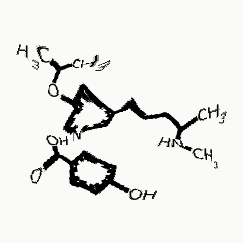 CNC(C)CC=Cc1cncc(OC(C)C)c1.O=C(O)c1ccc(O)cc1